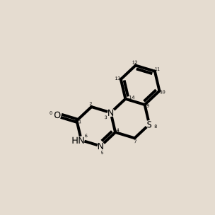 O=C1CN2C(=NN1)CSc1ccccc12